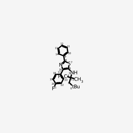 CC(C)(C)CC(C)(C)Nc1sc(-c2ccccc2)nc1-c1ccc(F)cc1